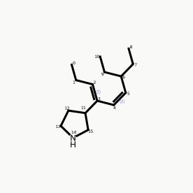 CC/C=C(/C=C\C(CC)CC)C1CCNC1